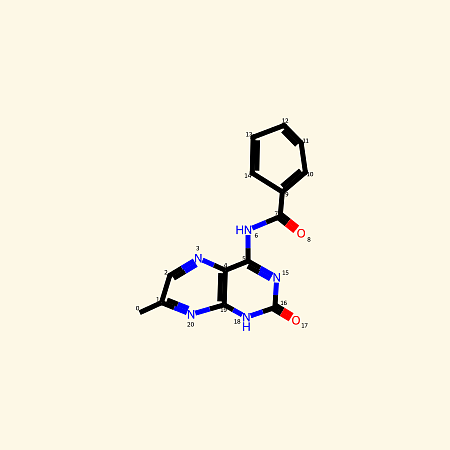 Cc1cnc2c(NC(=O)c3ccccc3)nc(=O)[nH]c2n1